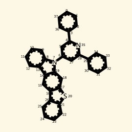 c1ccc(-c2cc(-n3c4ccccc4c4cc5c(cc43)sc3ccccc35)cc(-c3ccccc3)n2)cc1